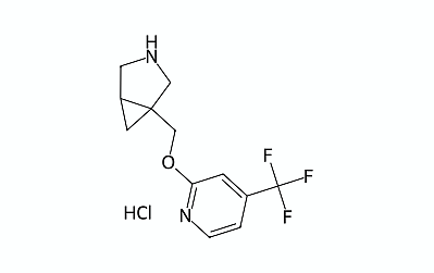 Cl.FC(F)(F)c1ccnc(OCC23CNCC2C3)c1